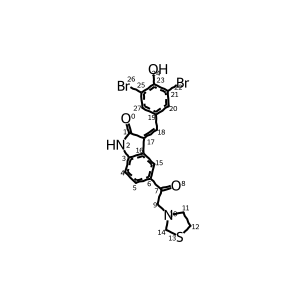 O=C1Nc2ccc(C(=O)CN3CCSC3)cc2C1=Cc1cc(Br)c(O)c(Br)c1